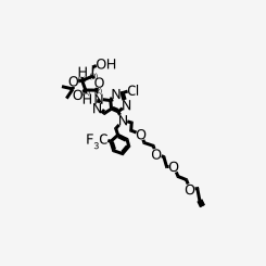 C#CCOCCOCCOCCOCCN(Cc1ccccc1C(F)(F)F)c1nc(Cl)nc2c1cnn2[C@@H]1O[C@H](CO)[C@H]2OC(C)(C)O[C@H]21